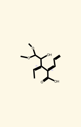 C=C/C=C(C(=O)O)\C(=C/C)C(O)C(OC)OC